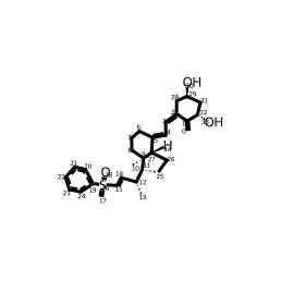 C=C1/C(=C\C=C2/CCC[C@]3(C)[C@@H]([C@H](C)/C=C/S(=C)(=O)c4ccccc4)CC[C@@H]23)C[C@@H](O)C[C@@H]1O